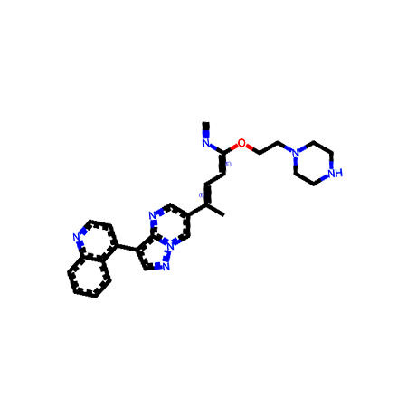 C=N/C(=C\C=C(/C)c1cnc2c(-c3ccnc4ccccc34)cnn2c1)OCCN1CCNCC1